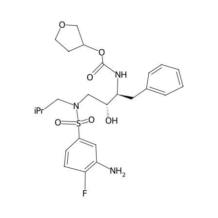 CC(C)CN(C[C@@H](O)[C@H](Cc1ccccc1)NC(=O)OC1CCOC1)S(=O)(=O)c1ccc(F)c(N)c1